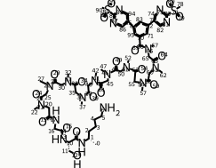 C[C@@H](CCCCN)NC(=O)[C@H](CO)NC(=O)CNC(=O)CN(C)C(=O)CN(C)C(=O)CN(C)C(=O)CN(C)C(=O)CN(C)C(=O)CN(C)C(=O)CN(C)C(=O)CN(C)C(=O)CN(C)C(=O)CN(C)C(=O)c1cc(-c2cnc(S(C)(=O)=O)nc2)cc(-c2cnc(S(C)(=O)=O)nc2)c1